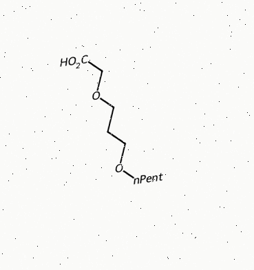 CCCCCOCCCOCC(=O)O